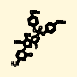 COc1ccc(OP(=O)(OC[C@@]2(C(F)F)O[C@@H](n3ccc(N)nc3=O)C(O)C2O)Oc2ccc(OC)cc2)cc1